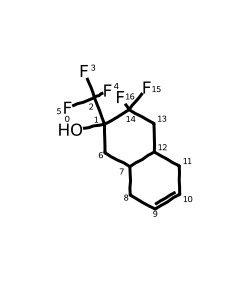 OC1(C(F)(F)F)CC2CC=CCC2CC1(F)F